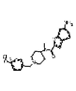 COc1ccc(CN2CCC(NC(=O)c3cc4ccc(N)cc4o3)CC2)cc1